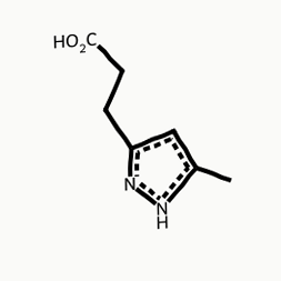 Cc1cc(CCC(=O)O)n[nH]1